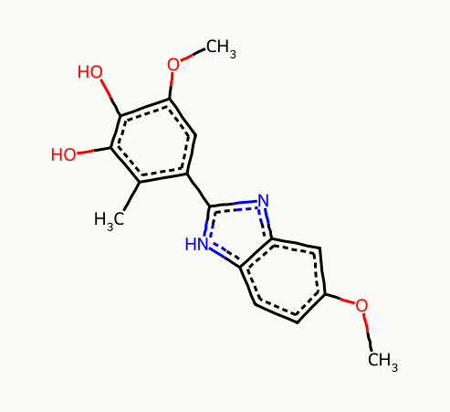 COc1ccc2[nH]c(-c3cc(OC)c(O)c(O)c3C)nc2c1